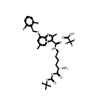 Cc1cc(OCc2c(F)cccc2F)c2nc(C)c(C(=O)NCCCC[C@H](N)C(=O)OC(=O)OC(C)(C)C)n2c1.O=C(O)C(F)(F)F